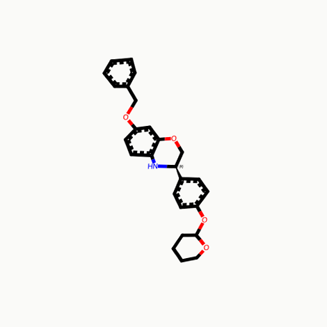 c1ccc(COc2ccc3c(c2)OC[C@@H](c2ccc(OC4CCCCO4)cc2)N3)cc1